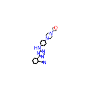 N#Cc1ccccc1-c1ncnc(Nc2ccc(N3CCN(C4COC4)CC3)cc2)n1